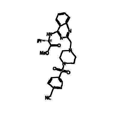 COC(=O)[C@@H](Nc1nc(CN2CCN(S(=O)(=O)c3ccc(C#N)cc3)CC2)nc2ccccc12)C(C)C